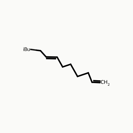 C=CCCCCC=CCC(C)CC